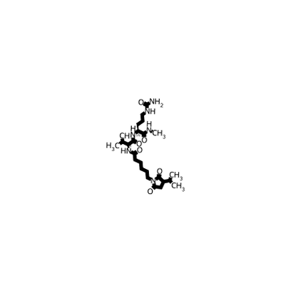 CNC(=O)[C@H](CCCNC(N)=O)NC(=O)[C@@H](NC(=O)CCCCCN1C(=O)CC(C(C)C)C1=O)C(C)C